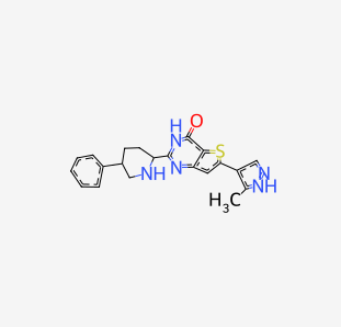 Cc1[nH]ncc1-c1cc2nc(C3CCC(c4ccccc4)CN3)[nH]c(=O)c2s1